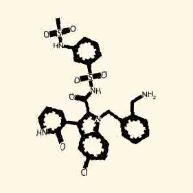 CS(=O)(=O)Nc1cccc(S(=O)(=O)NC(=O)c2c(-c3ccc[nH]c3=O)c3cc(Cl)ccc3n2Cc2ccccc2CN)c1